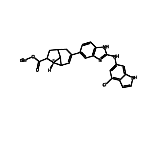 CC(C)(C)OC(=O)C1CC2CC(c3ccc4[nH]c(Nc5cc(Cl)c6cc[nH]c6c5)nc4c3)=CC3C2[C@@H]13